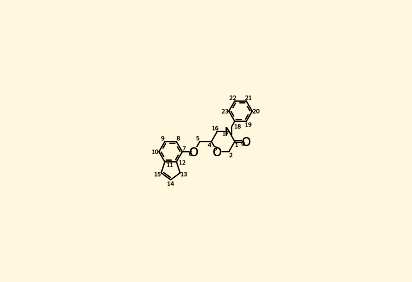 O=C1COC(COc2cccc3c2CC=C3)CN1c1ccccc1